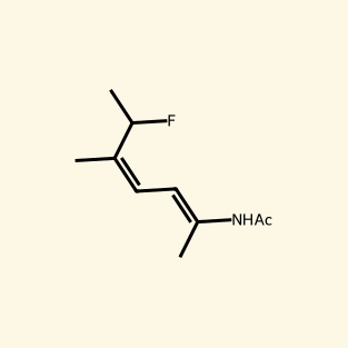 CC(=O)N/C(C)=C/C=C(/C)C(C)F